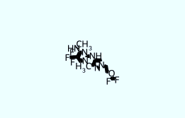 CNc1nc(Nc2cn(CCOC(F)F)nc2C)ncc1C(F)(F)F